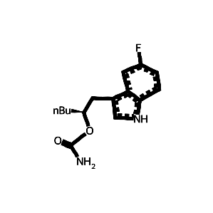 CCCC[C@@H](Cc1c[nH]c2ccc(F)cc12)OC(N)=O